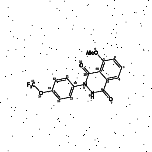 COc1cccc2c(=O)[nH]n(-c3ccc(OC(F)(F)F)cc3)c(=O)c12